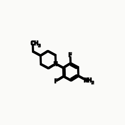 CCC1CCN(c2c(F)cc(N)cc2F)CC1